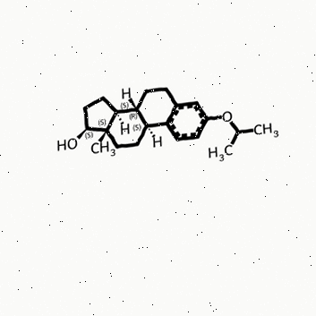 CC(C)Oc1ccc2c(c1)CC[C@@H]1[C@@H]2CC[C@]2(C)[C@@H](O)CC[C@@H]12